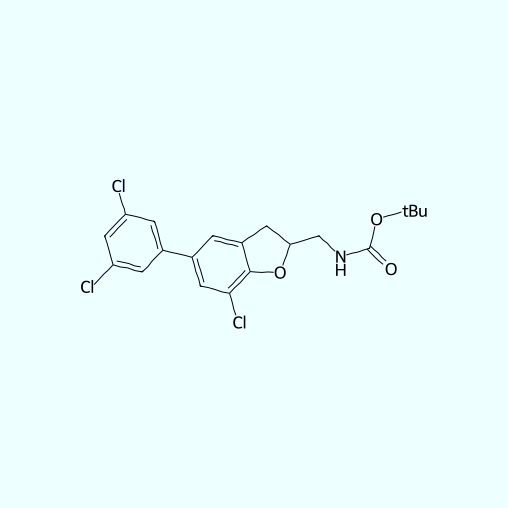 CC(C)(C)OC(=O)NCC1Cc2cc(-c3cc(Cl)cc(Cl)c3)cc(Cl)c2O1